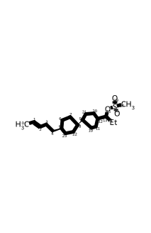 C/C=C/CC[C@H]1CC[C@H](C2CCC(C(CC)OS(C)(=O)=O)CC2)CC1